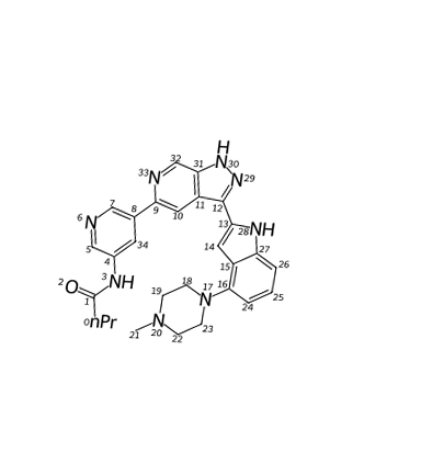 CCCC(=O)Nc1cncc(-c2cc3c(-c4cc5c(N6CCN(C)CC6)cccc5[nH]4)n[nH]c3cn2)c1